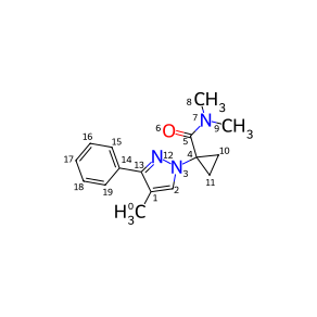 Cc1cn(C2(C(=O)N(C)C)CC2)nc1-c1ccccc1